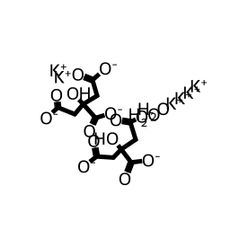 O.O.O=C([O-])CC(O)(CC(=O)[O-])C(=O)[O-].O=C([O-])CC(O)(CC(=O)[O-])C(=O)[O-].[K+].[K+].[K+].[K+].[K+].[K+]